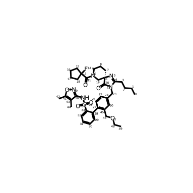 CCCCC1=N[C@@]2(CCCN(C(=O)C3(F)CCCC3)C2)C(=O)N1Cc1ccc(-c2ccccc2S(=O)(=O)Nc2noc(C)c2C)c(COCC)c1